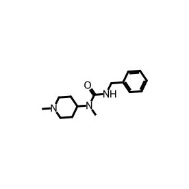 CN1CCC(N(C)C(=O)NCc2ccccc2)CC1